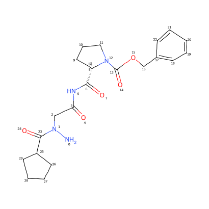 NN(CC(=O)NC(=O)[C@@H]1CCCN1C(=O)OCc1ccccc1)C(=O)C1CCCC1